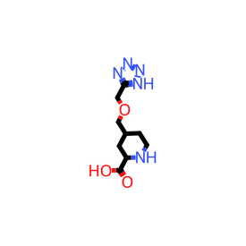 O=C(O)C1CC(COCc2nnn[nH]2)CCN1